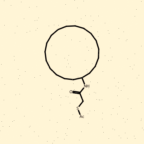 CC(=O)SCC(=O)NC1CCCCCCCCCCCCCCCCCC1